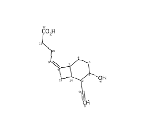 C#CC1C(O)CCC2C(=CCCC(=O)O)CC21